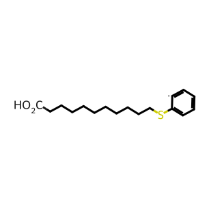 O=C(O)CCCCCCCCCCSc1[c]cccc1